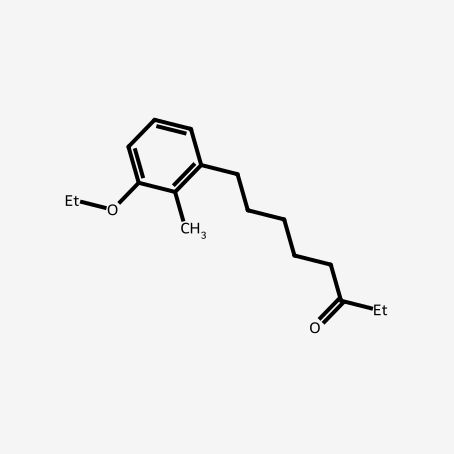 CCOc1cccc(CCCCCC(=O)CC)c1C